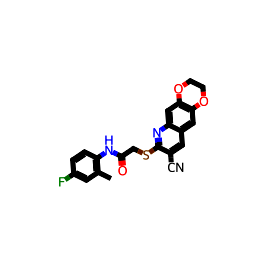 Cc1cc(F)ccc1NC(=O)CSc1nc2cc3c(cc2cc1C#N)OCCO3